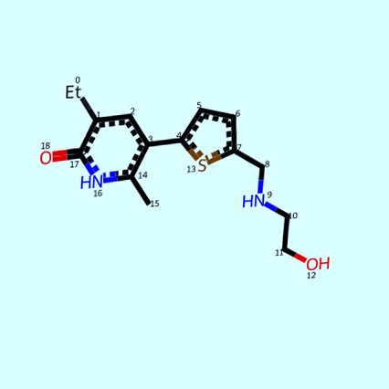 CCc1cc(-c2ccc(CNCCO)s2)c(C)[nH]c1=O